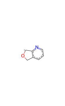 [C]1OCc2cccnc21